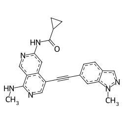 CNc1ncc(C#Cc2ccc3cnn(C)c3c2)c2cc(NC(=O)C3CC3)ncc12